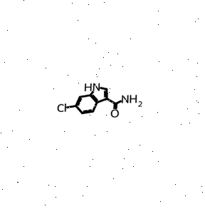 NC(=O)c1c[nH]c2cc(Cl)ccc12